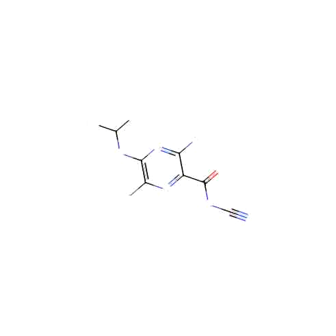 CC(C)Nc1nc(N)c(C(=O)NC#N)nc1Cl